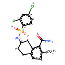 NC(=O)c1c(C(=O)O)ccc2c1CC(NS(=O)(=O)c1ccc(Cl)cc1Cl)CC2